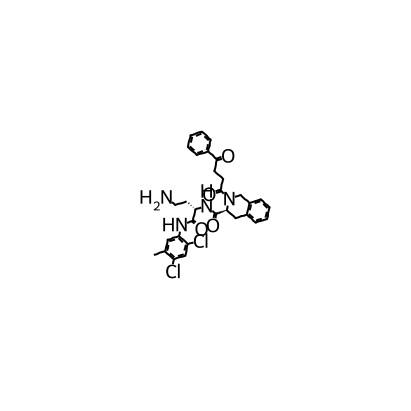 Cc1cc(NC(=O)[C@H](CCN)NC(=O)[C@@H]2Cc3ccccc3CN2C(=O)CCC(=O)c2ccccc2)c(Cl)cc1Cl